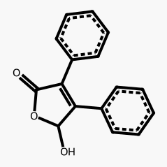 O=C1OC(O)C(c2ccccc2)=C1c1ccccc1